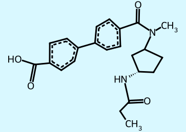 CCC(=O)N[C@H]1CCC(N(C)C(=O)c2ccc(-c3ccc(C(=O)O)cc3)cc2)C1